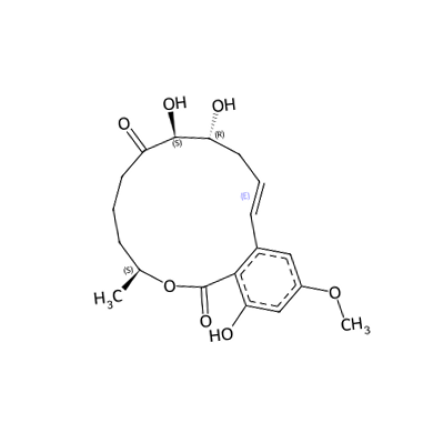 COc1cc(O)c2c(c1)/C=C/C[C@@H](O)[C@H](O)C(=O)CCC[C@H](C)OC2=O